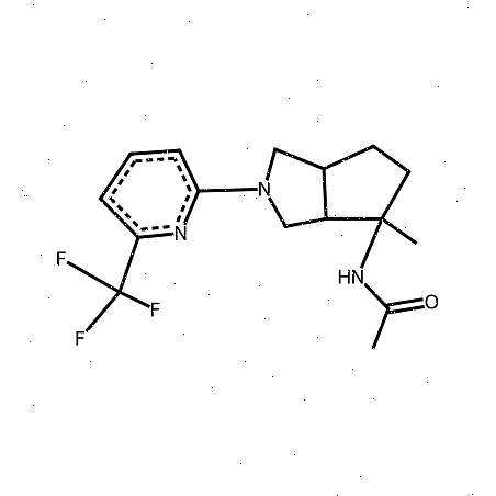 CC(=O)NC1(C)CCC2CN(c3cccc(C(F)(F)F)n3)CC21